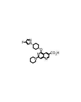 O=C(O)c1cnc2cc(N3CCCCC3)nc(O[C@H]3CC[C@@H](n4cc(F)cn4)CC3)c2c1